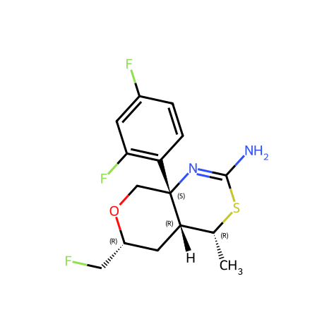 C[C@H]1SC(N)=N[C@@]2(c3ccc(F)cc3F)CO[C@@H](CF)C[C@@H]12